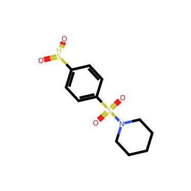 O=[SH](=O)c1ccc(S(=O)(=O)N2CCCCC2)cc1